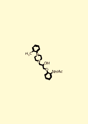 CC(=O)Nc1ccccc1OCC(O)CN1CCN(c2ccccc2C)CC1